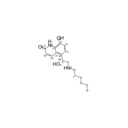 [CH2]CCCCCNC[C@H](O)c1ccc(O)c2[nH]c(=O)ccc12